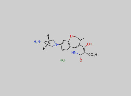 CC1COc2cc(N3C[C@@H]4C(N)[C@@H]4C3)ccc2-c2[nH]c(=O)c(C(=O)O)c(O)c21.Cl